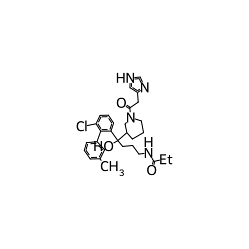 CCC(=O)NCCCC(O)(c1cccc(Cl)c1-c1cccc(C)c1)C1CCCN(C(=O)Cc2c[nH]cn2)C1